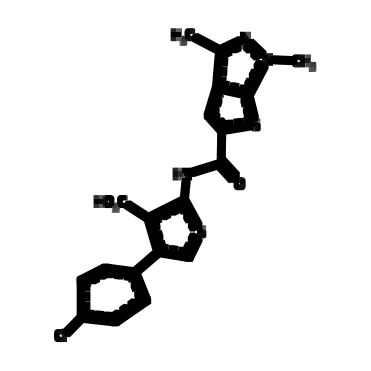 Cc1nn(C)c2sc(C(=O)Nc3scc(-c4ccc(Cl)cc4)c3C(=O)O)cc12